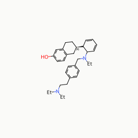 CCN(CC)CCc1ccc(CN(CC)C2C=CC=CC2[C@@H]2CCc3cc(O)ccc3C2)cc1